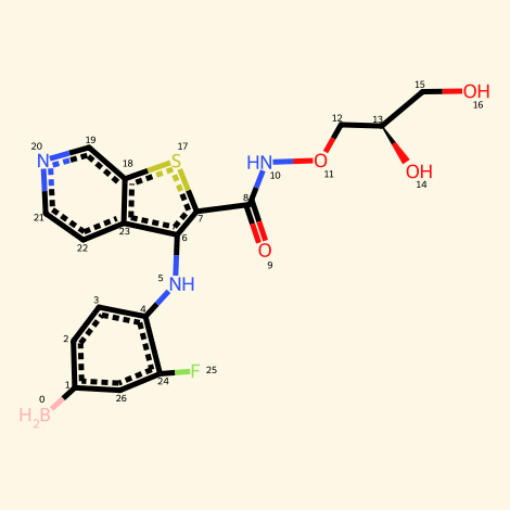 Bc1ccc(Nc2c(C(=O)NOC[C@H](O)CO)sc3cnccc23)c(F)c1